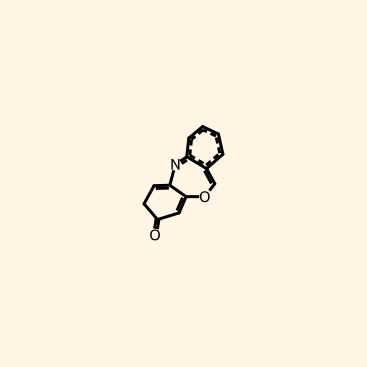 O=C1C=C2OC=c3ccccc3=NC2=CC1